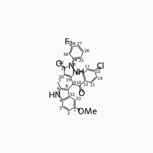 COc1ccc2[nH]c(C)c(C(C(=O)c3ccc(Cl)cc3)c3cc(=O)n(-c4cccc(F)c4)[nH]3)c2c1